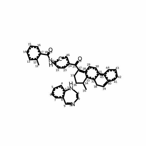 C1=CNc2ccccc2C=N1.Cc1ccccc1C(=O)Nc1ccc(C(=O)C2=c3ccc4c(c3C(C)CC2)CC=c2ccccc2=4)cc1